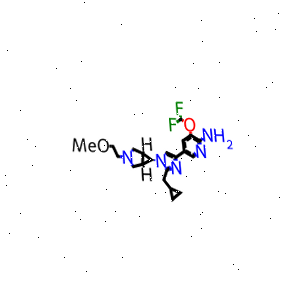 COCCN1C[C@@H]2[C@H](C1)[C@@H]2n1cc(-c2cnc(N)c(OC(F)F)c2)nc1CC1CC1